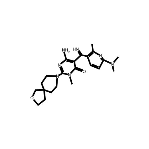 Cc1nc(N(C)C)ccc1C(=N)c1c(N)nc(N2CCC3(CCOC3)CC2)n(C)c1=O